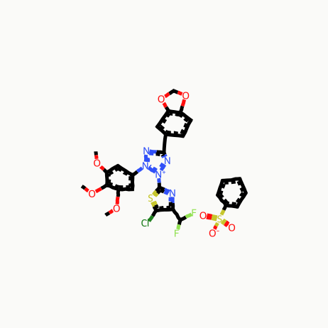 COc1cc(-n2nc(-c3ccc4c(c3)OCO4)n[n+]2-c2nc(C(F)F)c(Cl)s2)cc(OC)c1OC.O=S(=O)([O-])c1ccccc1